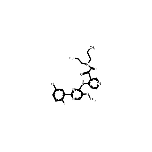 CCCN(CCC)C(=O)C(=O)c1cnccc1Nc1nc(-c2cc(Cl)ccc2F)ncc1OC